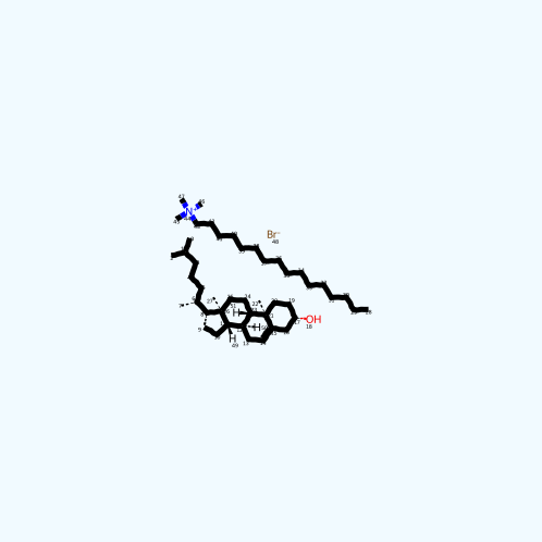 CC(C)CCC[C@@H](C)[C@H]1CC[C@H]2[C@@H]3CC=C4C[C@@H](O)CC[C@]4(C)[C@H]3CC[C@]12C.CCCCCCCCCCCCCCCC[N+](C)(C)C.[Br-]